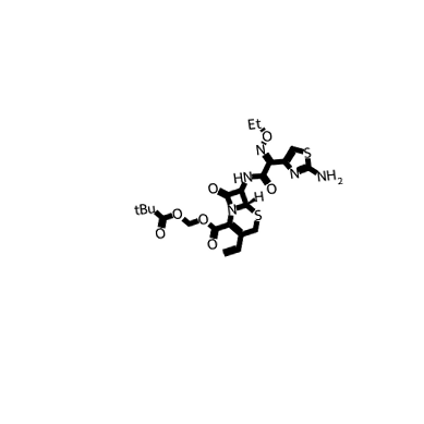 C=CC1=C(C(=O)OCOC(=O)C(C)(C)C)N2C(=O)C(NC(=O)C(=NOCC)c3csc(N)n3)[C@@H]2SC1